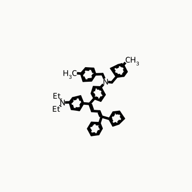 CCN(CC)c1ccc(C(=CC=C(c2ccccc2)c2ccccc2)c2ccc(N(Cc3ccc(C)cc3)Cc3ccc(C)cc3)cc2)cc1